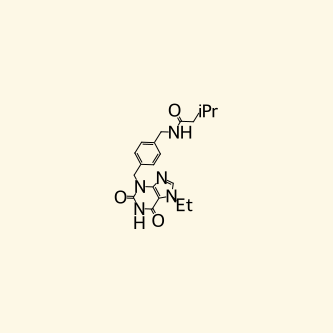 CCn1cnc2c1c(=O)[nH]c(=O)n2Cc1ccc(CNC(=O)CC(C)C)cc1